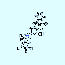 Cc1cc(/C=C/C(c2cc(Cl)c(Cl)c(Cl)c2)C(F)(F)F)cnc1CN1C(=O)c2ccccc2C1=O